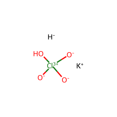 [H-].[K+].[O-][Cl+3]([O-])([O-])O